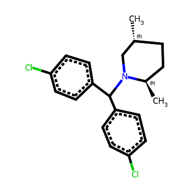 C[C@@H]1CC[C@@H](C)N(C(c2ccc(Cl)cc2)c2ccc(Cl)cc2)C1